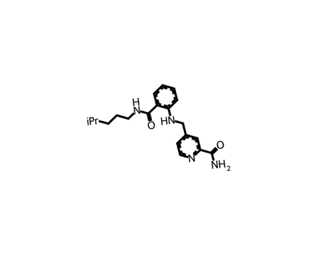 CC(C)CCCNC(=O)c1ccccc1NCc1ccnc(C(N)=O)c1